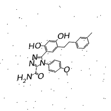 COc1ccc(-n2c(C(N)=O)nnc2-c2cc(CCc3cccc(C)c3)c(O)cc2O)cc1